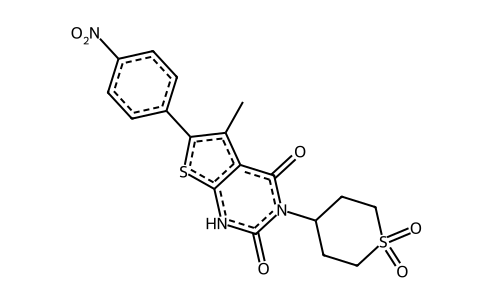 Cc1c(-c2ccc([N+](=O)[O-])cc2)sc2[nH]c(=O)n(C3CCS(=O)(=O)CC3)c(=O)c12